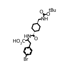 CC(C)(C)OC(=O)NC[C@H]1CC[C@H](C(=O)NC(Cc2ccc(Br)cc2)C(=O)O)CC1